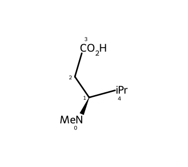 CN[C@@H](CC(=O)O)C(C)C